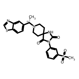 C[C@@H](c1ccc2scnc2c1)N1CCC2(CC1)NC(=O)N(c1cccc(S(C)(=O)=O)c1)C2=O